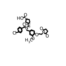 COc1cc(CN(C[C@@H]2CC[C@@H](C(=O)O)C2)C(C)c2ccc(Cl)cc2)ccc1OCCN1C(=O)CCC1=O